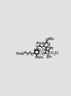 CCCOC(=O)C(C(=O)OCC)(C(=O)C(C[C@H](Cc1ccc(OC)c(OCCCOC)c1)C(C)C)NC(=O)OC(C)(C)C)[C@@H](C(=O)OCC)C(C)C